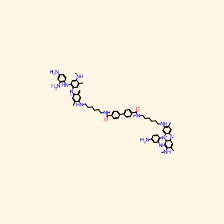 C=C1C=C(NCCCCCCNC(=O)c2ccc(-c3ccc(C(=O)NCCCCCCNc4cc5c(cc4C)nc4cc(C)c(NC)cc4[n+]5-c4ccc(N)cc4N)cc3)cc2)C(C)=C/C1=N/c1cc(C)c(NC)cc1Nc1ccc(N)cc1N